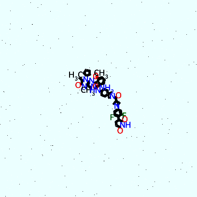 CCC1C(=O)N(C)c2cnc(C3C(OC)=CC=CC3(N)C(=O)NC3CCC4(CC3)CN(C(=O)C3CN(c5cc(F)c(C6CCC(=O)NC6=O)c(F)c5)C3)C4)nc2N1C1CCCC1